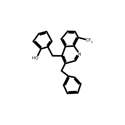 Oc1ccccc1Cc1c(Cc2ccccc2)cnc2c(C(F)(F)F)cccc12